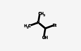 [CH2]CC(O)N(C)C